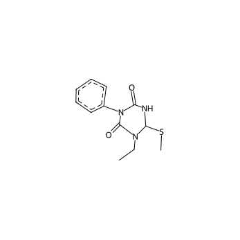 CCN1C(=O)N(c2ccccc2)C(=O)NC1SC